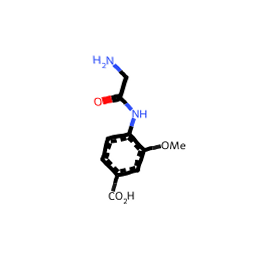 COc1cc(C(=O)O)ccc1NC(=O)CN